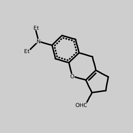 CCN(CC)c1ccc2c(c1)OC1=C(CCC1C=O)C2